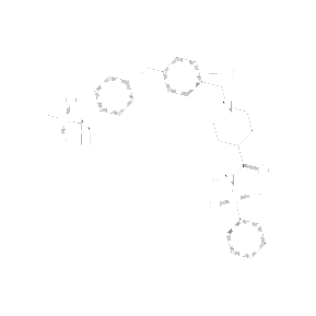 CS(=O)(=O)Nc1ccc(Oc2ccc(CN3CCC(C(=O)NS(=O)(=O)c4ccccc4)CC3)cc2)cc1.Cl